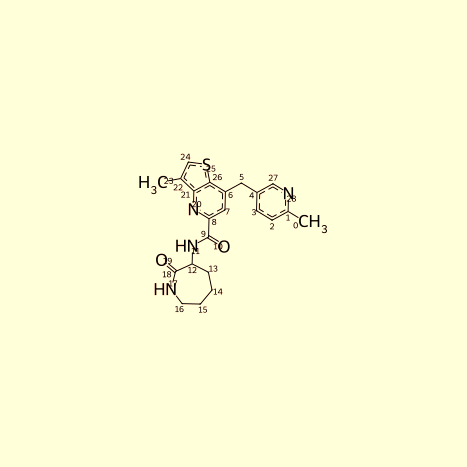 Cc1ccc(Cc2cc(C(=O)NC3CCCCNC3=O)nc3c(C)csc23)cn1